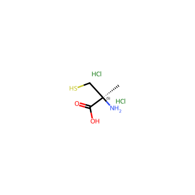 C[C@@](N)(CS)C(=O)O.Cl.Cl